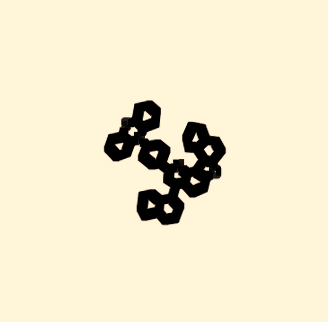 c1ccc2c(c1)Sc1ccccc1N2c1ccc(-c2cc(-c3cccc4ccccc34)c3ccc4oc5ccc6ccccc6c5c4c3n2)cc1